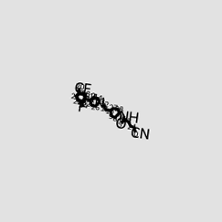 N#CCCCC(=O)NC1CCC(CCN2CC=C(c3cc(C(F)(F)F)ccc3F)CC2)CC1